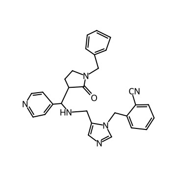 N#Cc1ccccc1Cn1cncc1CNC(c1ccncc1)C1CCN(Cc2ccccc2)C1=O